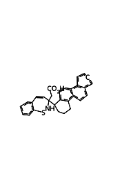 O=C(O)CC1(C2CCCc3c2ccc2c3ccc3ccccc32)C=Cc2ccccc2SN1